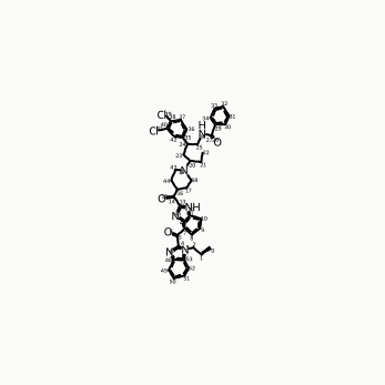 C=CCn1c(C(=O)c2cccc3[nH]c(C(=O)C4CCN(C(CC)CC(CNC(=O)c5ccccc5)c5ccc(Cl)c(Cl)c5)CC4)nc23)nc2ccccc21